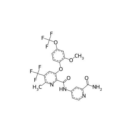 COc1cc(OC(F)(F)F)ccc1Oc1cc(C(F)(F)F)c(C)nc1C(=O)Nc1ccnc(C(N)=O)c1